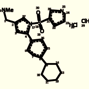 CNCc1cc(-c2ccc(C3CCCCC3)cc2)n(S(=O)(=O)c2cccnc2)c1.Cl.Cl